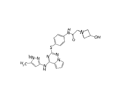 Cc1cc(Nc2nc(Sc3ccc(NC(=O)CN4CC(O)C4)cc3)nn3cccc23)n[nH]1